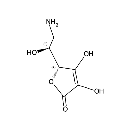 NC[C@H](O)[C@H]1OC(=O)C(O)=C1O